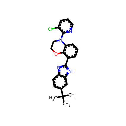 CC(C)(C)c1ccc2nc(-c3cccc4c3OCCN4c3ncccc3Cl)[nH]c2c1